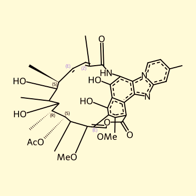 COc1c(C)c(O)c2c(O)c3c4c(nc5cc(C)ccn54)c2c1C(=O)O/C=C/C(OC)C(C)[C@@H](OC(C)=O)[C@H](C)C(O)C(C)C(O)[C@@H](C)/C=C/C=C(/C)C(=O)N3